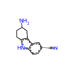 N#Cc1ccc2[nH]c3c(c2c1)CC(N)CC3